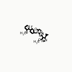 COc1cccnc1-c1ccc(CN2C(=O)CCn3nc(-c4c(OC)ncnc4C4CC4)nc32)cc1F